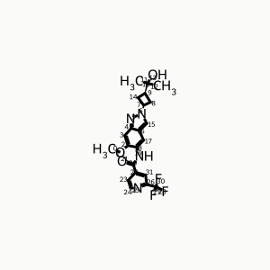 COc1cc2nn([C@H]3C[C@H](C(C)(C)O)C3)cc2cc1NC(=O)c1ccnc(C(F)(F)F)c1